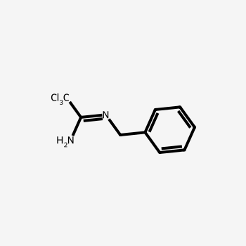 NC(=NCc1ccccc1)C(Cl)(Cl)Cl